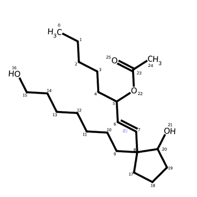 CCCCCC(/C=C/C1(CCCCCCCO)CCCC1O)OC(C)=O